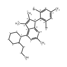 Cc1nc(N2CCCCC2CCO)c2c(C)c(C)n(-c3c(Br)cc(C(F)(F)F)cc3Br)c2n1